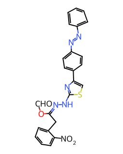 O=CO/C(Cc1ccccc1[N+](=O)[O-])=N/Nc1nc(-c2ccc(/N=N/c3ccccc3)cc2)cs1